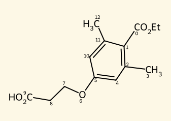 CCOC(=O)c1c(C)cc(OCCC(=O)O)cc1C